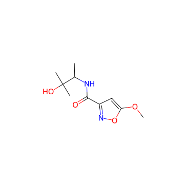 COc1cc(C(=O)NC(C)C(C)(C)O)no1